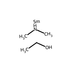 CCO.CNC.[Sm]